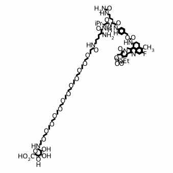 CC[SH]1(=O)C(=O)OCc2c1cc1n(c2=O)Cc2c-1nc1cc(F)c(C)c3c1c2[C@@H](NC(=O)OCc1ccc(NC(=O)[C@H](CCCNC(N)=O)NC(=O)[C@@H](NC(=O)[C@@H](N)CCCCNC(=O)CCOCCOCCOCCOCCOCCOCCOCCOCCOCCOCCOCCOCCNC2O[C@H](C(=O)O)[C@@H](O)[C@H](O)[C@H]2O)C(C)C)cc1)CC3